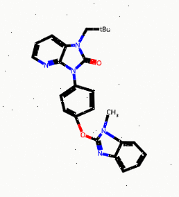 Cn1c(Oc2ccc(-n3c(=O)n(CC(C)(C)C)c4cccnc43)cc2)nc2ccccc21